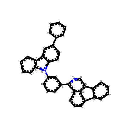 c1ccc(-c2ccc3c(c2)c2ccccc2n3-c2cccc(-c3ncc4c5c(cccc35)-c3ccccc3-4)c2)cc1